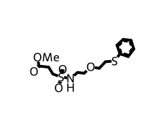 COC(=O)CCS(=O)(=O)NCCOCCSc1ccccc1